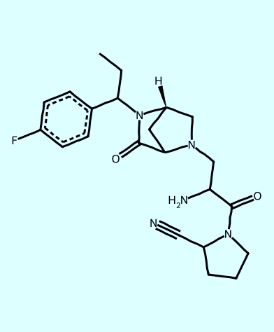 CCC(c1ccc(F)cc1)N1C(=O)C2C[C@H]1CN2CC(N)C(=O)N1CCCC1C#N